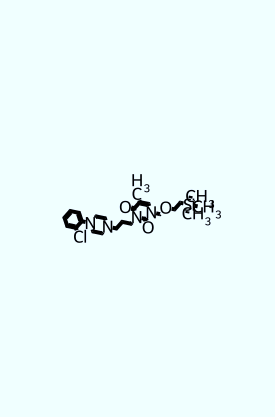 Cc1cn(COCC[Si](C)(C)C)c(=O)n(CCCN2CCN(c3ccccc3Cl)CC2)c1=O